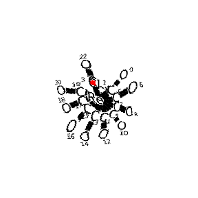 O=[C]=[Re]([Cl])([Cl])(=[C]=O)(=[C]=O)(=[C]=O)(=[C]=O)(=[C]=O)(=[C]=O)(=[C]=O)(=[C]=O)=[C]=O